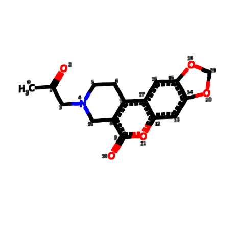 CC(=O)CN1CCc2c(c(=O)oc3cc4c(cc23)OCO4)C1